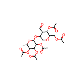 CC(=O)OCC1OCC(O[C@@H]2OC(C)[C@H](OC(C)=O)C(OC(C)=O)C2OC(C)=O)C(C=O)[C@@H]1OC(C)=O